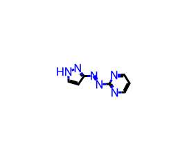 c1cnc(N=Nc2cc[nH]n2)nc1